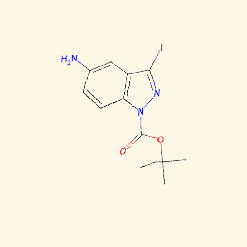 CC(C)(C)OC(=O)n1nc(I)c2cc(N)ccc21